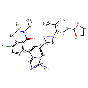 CCN(C(=O)c1cc(F)ccc1-c1cc(C2CN([C@@H](CCC3OCCO3)C(C)C)C2)cn2c(C)ncc12)C(C)C